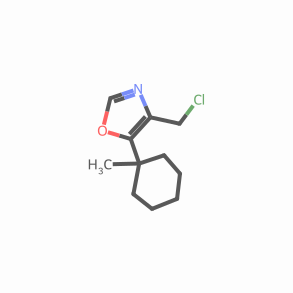 CC1(c2ocnc2CCl)CCCCC1